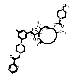 C/C(=C\c1cc(F)cc(N2CCN(CC(=O)c3cnccn3)CC2)c1)[C@@]1(O)OC(=O)CCCC[C@H](C)[C@@H](OC(=O)N2CCN(C)CC2)/C=C/[C@@H]1C